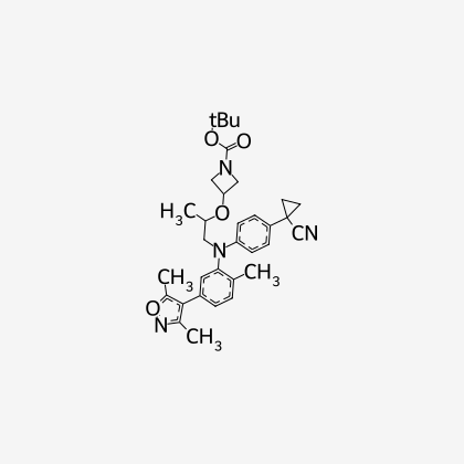 Cc1ccc(-c2c(C)noc2C)cc1N(CC(C)OC1CN(C(=O)OC(C)(C)C)C1)c1ccc(C2(C#N)CC2)cc1